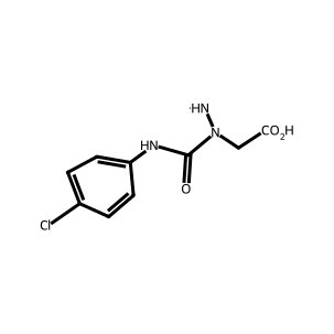 [NH]N(CC(=O)O)C(=O)Nc1ccc(Cl)cc1